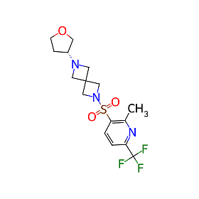 Cc1nc(C(F)(F)F)ccc1S(=O)(=O)N1CC2(CN([C@@H]3CCOC3)C2)C1